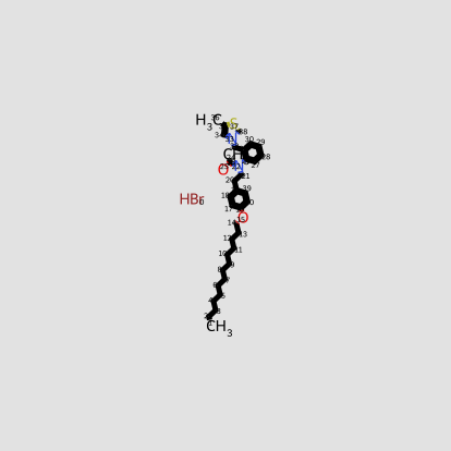 Br.CCCCCCCCCCCCCCOc1ccc(CCN(C(C)=O)c2ccccc2CN2C=C(C)SC2)cc1